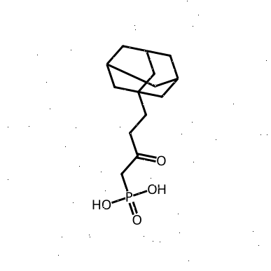 O=C(CCC12CC3CC(CC(C3)C1)C2)CP(=O)(O)O